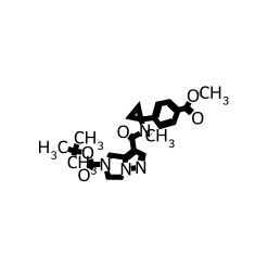 COC(=O)c1ccc(C2(N(C)C(=O)c3cnn4c3CN(C(=O)OC(C)(C)C)CC4)CC2)cc1